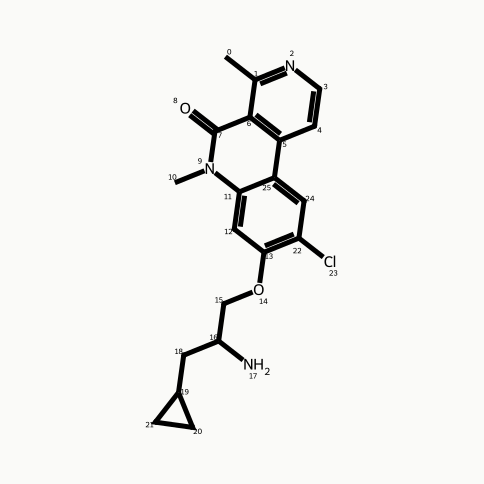 Cc1nccc2c1c(=O)n(C)c1cc(OCC(N)CC3CC3)c(Cl)cc21